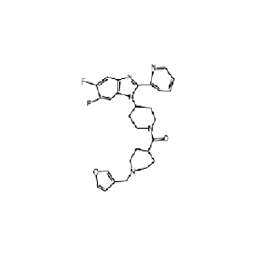 O=C(C1CCN(Cc2ccoc2)CC1)N1CCC(n2c(-c3ccccn3)nc3cc(F)c(F)cc32)CC1